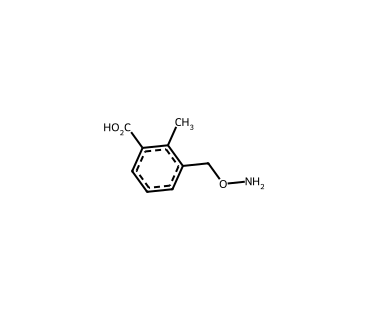 Cc1c(CON)cccc1C(=O)O